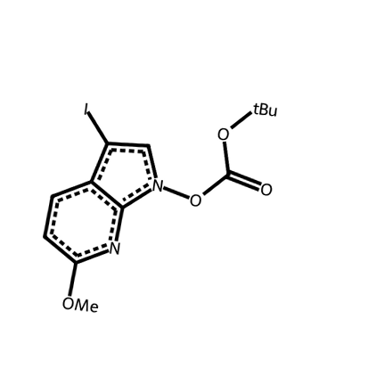 COc1ccc2c(I)cn(OC(=O)OC(C)(C)C)c2n1